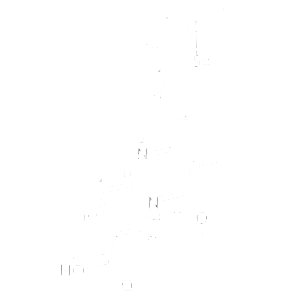 CCc1c(C=Cc2ccc(C)s2)nc2ccc(C(=O)O)cn2c1=O